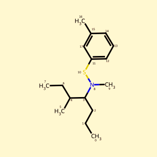 CCCC(C(C)CC)N(C)Sc1cccc(C)c1